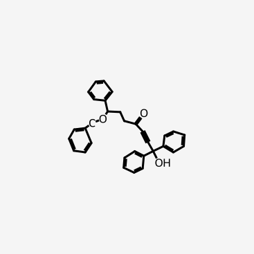 O=C(C#CC(O)(c1ccccc1)c1ccccc1)CCC(OCc1ccccc1)c1ccccc1